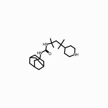 CC(C)(CC(C)(C)C1CCNCC1)NC(=O)NC12CC3CC(CC(C3)C1)C2